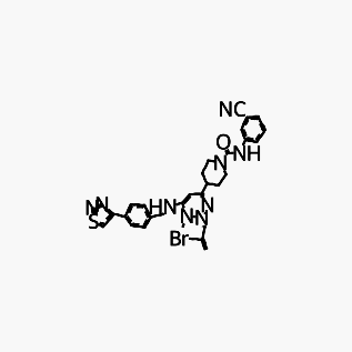 C=C(Br)/C=N\N(C)/C(=C\C(=N/C)C1CCN(C(=O)Nc2cccc(C#N)c2)CC1)NCc1ccc(-c2csnn2)cc1